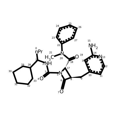 CCCC(NC(=O)N1C(=O)[C@H](Cc2ccnc(N)c2)[C@H]1C(=O)N(C)c1ccccc1)C1CCCCC1